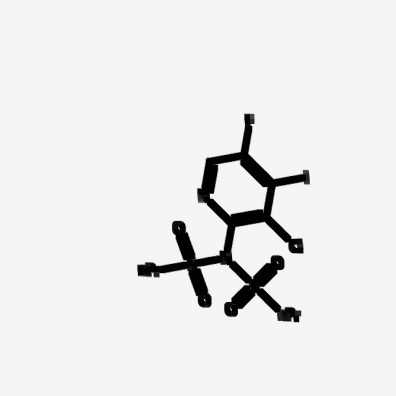 CCCS(=O)(=O)N(c1ncc(F)c(I)c1Cl)S(=O)(=O)CCC